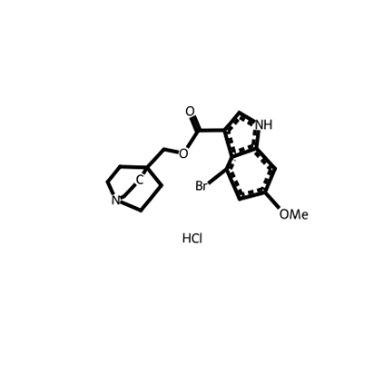 COc1cc(Br)c2c(C(=O)OCC34CCN(CC3)CC4)c[nH]c2c1.Cl